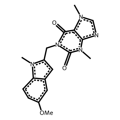 COc1ccc2c(c1)cc(Cn1c(=O)c3c(ncn3C)n(C)c1=O)n2C